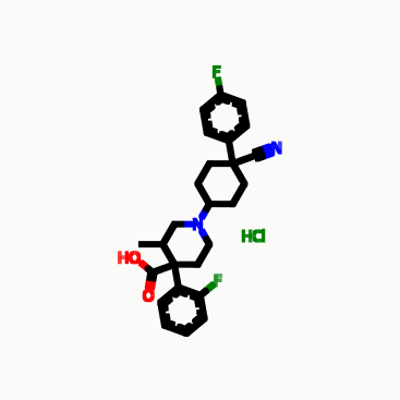 CC1CN(C2CCC(C#N)(c3ccc(F)cc3)CC2)CCC1(C(=O)O)c1ccccc1F.Cl